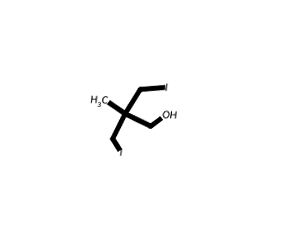 CC(CO)(CI)CI